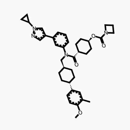 COc1ccc([C@H]2CC[C@H](CN(c3cccc(-c4cnn(C5CC5)c4)c3)C(=O)[C@H]3CC[C@H](OC(=O)N4CCC4)CC3)CC2)cc1C